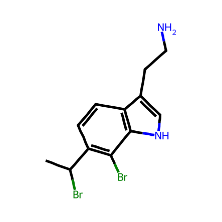 CC(Br)c1ccc2c(CCN)c[nH]c2c1Br